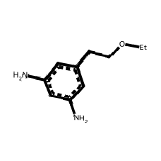 CCOCCc1cc(N)cc(N)c1